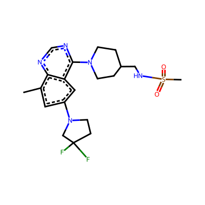 Cc1cc(N2CCC(F)(F)C2)cc2c(N3CCC(CNS(C)(=O)=O)CC3)ncnc12